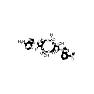 Nc1ncnc2c1ncn2[C@@H]1O[C@@H]2COP(=O)(S)O[C@H]3[C@@H](O)[C@H](n4nnc5c([N+](=O)[O-])cccc54)O[C@@H]3COP(=O)(O)OC2[C@H]1F